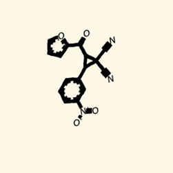 N#CC1(C#N)C(C(=O)c2ccco2)C1c1cccc([N+](=O)[O-])c1